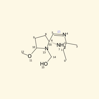 CCC(C)/N=C\[C@]1(N)CCC(OC)N1CO